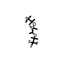 CC(OC(C)(C)C(F)(F)F)[Si](C)(C)OC(C)(C)[Si](C)(C)C